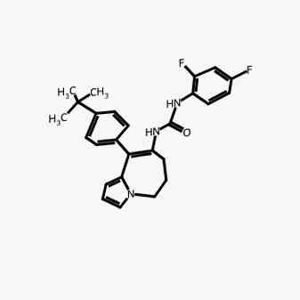 CC(C)(C)c1ccc(C2=C(NC(=O)Nc3ccc(F)cc3F)CCCn3cccc32)cc1